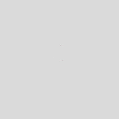 CCOCC(=O)OP(=O)(OCC)OCC